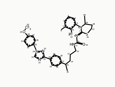 Cc1cccc(N2/C(=N/C(=O)NCCCC(C)c3ccc(-c4ncn(-c5ccc(OC(F)(F)F)cc5)n4)cc3)SCCC2C)c1C(C)C